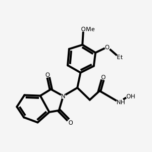 CCOc1cc(C(CC(=O)NO)N2C(=O)c3ccccc3C2=O)ccc1OC